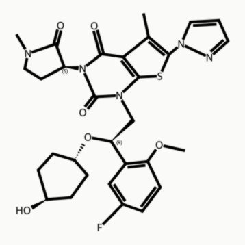 COc1ccc(F)cc1[C@H](Cn1c(=O)n([C@H]2CCN(C)C2=O)c(=O)c2c(C)c(-n3cccn3)sc21)O[C@H]1CC[C@H](O)CC1